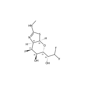 CNC1=N[C@@H]2[C@H](F)[C@H](O)[C@@H]([C@@H](O)C(F)F)O[C@@H]2S1